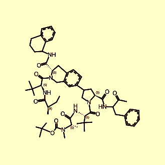 CC[C@@H](C)C(=O)N[C@H](C(=O)N1Cc2cc(C3C[C@@H](C(=O)NC(Cc4ccccc4)C(C)=O)N(C(=O)[C@@H](NC(=O)[C@H](C)N(C)C(=O)OC(C)(C)C)C(C)(C)C)C3)ccc2C[C@H]1C(=O)NC1CCCc2ccccc21)C(C)(C)C